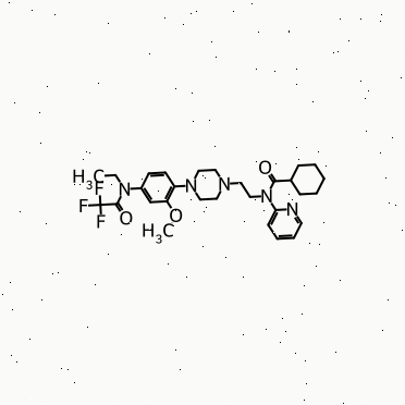 CCN(C(=O)C(F)(F)F)c1ccc(N2CCN(CCN(C(=O)C3CCCCC3)c3ccccn3)CC2)c(OC)c1